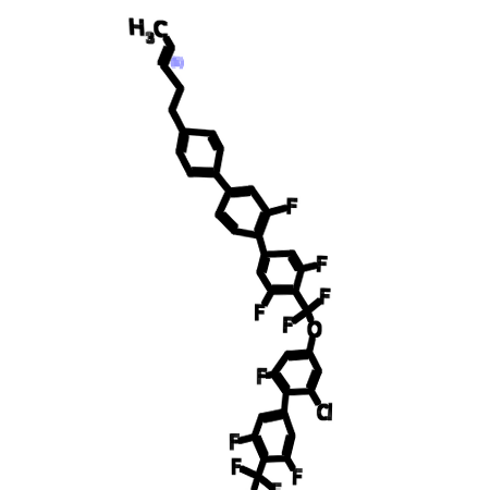 C/C=C/CCc1ccc(-c2ccc(-c3cc(F)c(C(F)(F)Oc4cc(F)c(-c5cc(F)c(C(F)(F)F)c(F)c5)c(Cl)c4)c(F)c3)c(F)c2)cc1